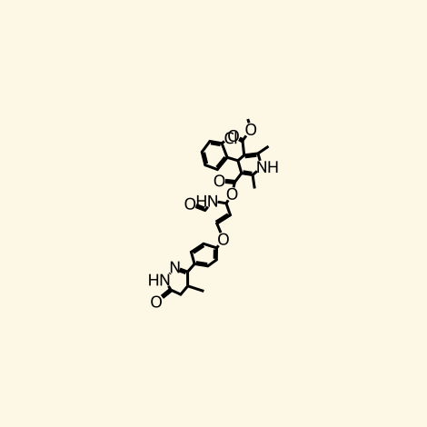 COC(=O)C1=C(C)NC(C)=C(C(=O)OC(C=COc2ccc(C3=NNC(=O)CC3C)cc2)NC=O)C1c1ccccc1Cl